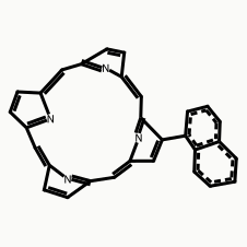 C1=CC2=NC1=CC1=NC(=CC3=NC(=CC4=NC(=C2)C=C4)C=C3c2cccc3ccccc23)C=C1